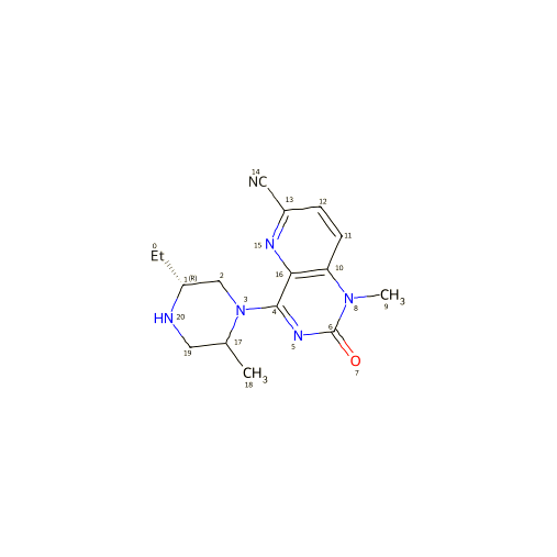 CC[C@@H]1CN(c2nc(=O)n(C)c3ccc(C#N)nc23)C(C)CN1